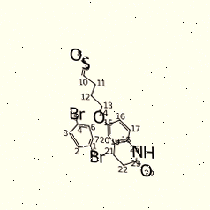 Brc1ccc(Br)cc1.O=S=CCCCOc1ccc2c(c1)CCC(=O)N2